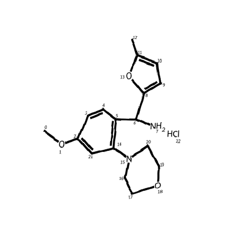 COc1ccc(C(N)c2ccc(C)o2)c(N2CCOCC2)c1.Cl